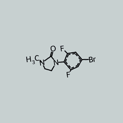 CN1CCN(c2c(F)cc(Br)cc2F)C1=O